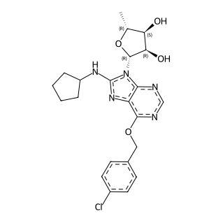 C[C@H]1O[C@@H](n2c(NC3CCCC3)nc3c(OCc4ccc(Cl)cc4)ncnc32)[C@H](O)[C@@H]1O